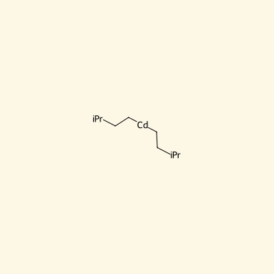 CC(C)C[CH2][Cd][CH2]CC(C)C